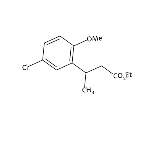 CCOC(=O)CC(C)c1cc(Cl)ccc1OC